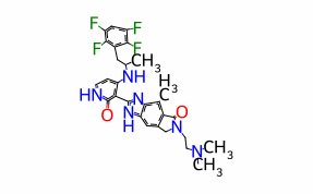 Cc1c2c(cc3[nH]c(-c4c(NC(C)Cc5c(F)c(F)cc(F)c5F)cc[nH]c4=O)nc13)CN(CCN(C)C)C2=O